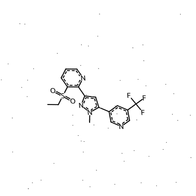 CCS(=O)(=O)c1cccnc1-c1cc(-c2cncc(C(F)(F)F)c2)n(C)n1